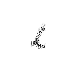 N=C(SC(=N)c1ccc2c(ccc3nc(-c4nnc(-c5cccc(-c6ccccc6)n5)s4)ccc32)n1)c1cccc(-c2ccccc2)n1